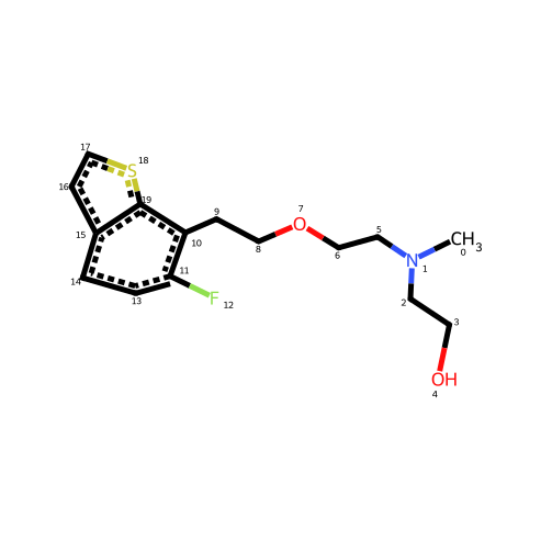 CN(CCO)CCOCCc1c(F)ccc2ccsc12